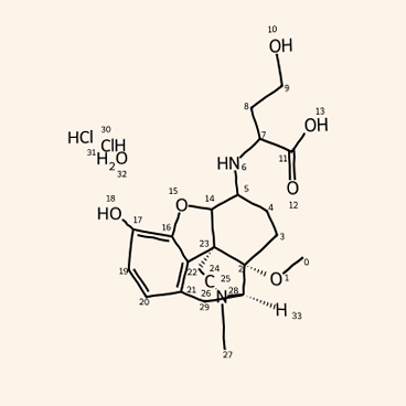 CO[C@@]12CCC(NC(CCO)C(=O)O)C3Oc4c(O)ccc5c4[C@@]31CCN(C)[C@@H]2C5.Cl.Cl.O